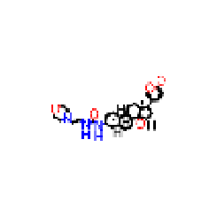 C[C@]12CC[C@H](NC(=O)NCCN3CCOCC3)C[C@H]1CC[C@@H]1[C@@H]2CC[C@]2(C)[C@@H](c3ccc(=O)oc3)C[C@H]3O[C@]132